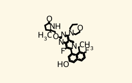 CCc1c(F)ccc2cc(O)cc(-c3ncc4c(N5CCCOCC5)nc(OCC5(C)CCC(=O)N5)nc4c3F)c12